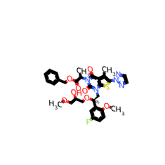 COCC(O)CO[C@@H](Cn1c(=O)n(C(C)C(=O)OCc2ccccc2)c(=O)c2c(C)c(-n3nccn3)sc21)c1cc(F)ccc1OC